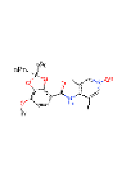 CCCC1(CCC)Oc2c(OC(C)C)ccc(C(=O)Nc3c(C)c[n+](O)cc3C)c2O1